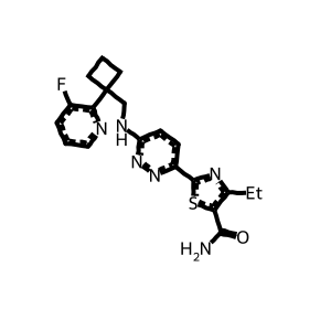 CCc1nc(-c2ccc(NCC3(c4ncccc4F)CCC3)nn2)sc1C(N)=O